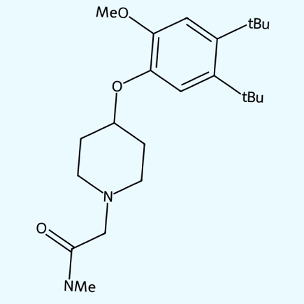 CNC(=O)CN1CCC(Oc2cc(C(C)(C)C)c(C(C)(C)C)cc2OC)CC1